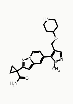 Cn1ncc(COC2CCNCC2)c1-c1ccn2nc(C3(C(N)=O)CC3)cc2c1